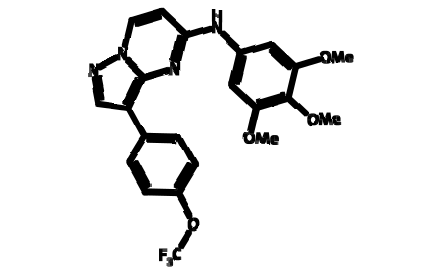 COc1cc(Nc2ccn3ncc(-c4ccc(OC(F)(F)F)cc4)c3n2)cc(OC)c1OC